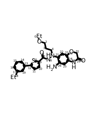 CCOCCCN(NC(=O)c1ccc(-c2cccc(CC)c2)s1)c1cc2c(cc1N)NC(=O)CO2